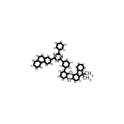 CC1(C)c2ccccc2-c2c1ccc1c2Oc2c(cccc2-c2cccc(-c3nc(-c4ccccc4)nc(-c4ccc5c(ccc6ccccc65)c4)n3)c2)O1